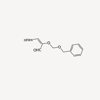 CCCCCC/C=C(\C=O)OCOCc1ccccc1